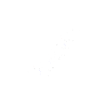 C=CC(=O)NC1CCN(S(=O)(=O)c2ccc(N(C)C(=O)C3CCOCC3)cc2)CC1C